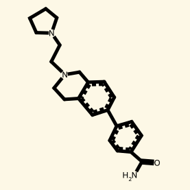 NC(=O)c1ccc(-c2ccc3c(c2)CCN(CCN2CCCC2)C3)cc1